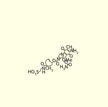 CO[C@]12C3C(CN1C1=C(C(=O)C(N)=C(C)C1=O)[C@H]2COC(N)=O)N3C(=O)O[C@H]1/C=C/CC[C@@](C)(C(=O)NCCS(=O)(=O)O)CC1